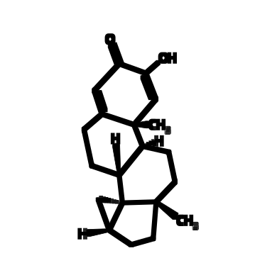 C[C@@]12CC[C@@H]3C[C@@]31[C@@H]1CCC3=CC(=O)C(O)=C[C@]3(C)[C@H]1CC2